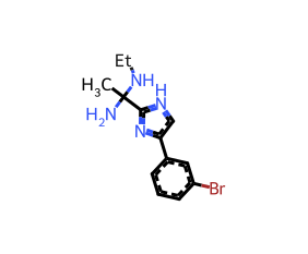 CCNC(C)(N)c1nc(-c2cccc(Br)c2)c[nH]1